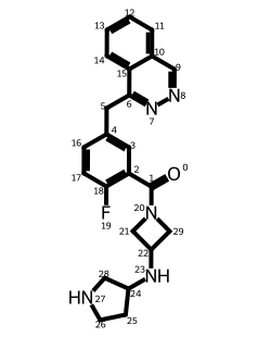 O=C(c1cc(Cc2nncc3ccccc23)ccc1F)N1CC(NC2CCNC2)C1